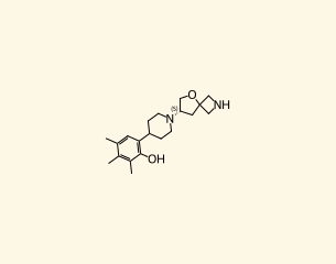 Cc1cc(C2CCN([C@@H]3COC4(CNC4)C3)CC2)c(O)c(C)c1C